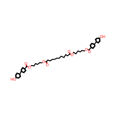 O=C(CCCCCCCCCCC(=O)OCCCCCCOC(=O)c1ccc(-c2ccc(O)cc2)cc1)OCCCCCCOC(=O)c1ccc(-c2ccc(O)cc2)cc1